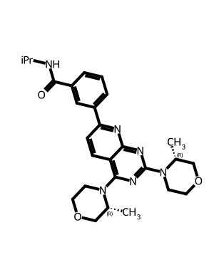 CC(C)NC(=O)c1cccc(-c2ccc3c(N4CCOC[C@H]4C)nc(N4CCOC[C@H]4C)nc3n2)c1